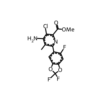 COC(=O)c1nc(-c2cc3c(cc2F)OC(F)(F)O3)c(C)c(N)c1Cl